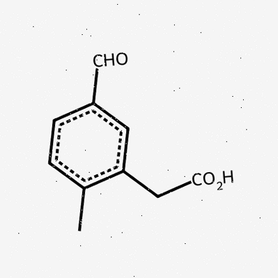 Cc1ccc(C=O)cc1CC(=O)O